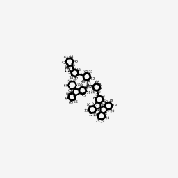 c1cc(-c2ccc3c(c2)-c2ccccc2C32c3ccccc3-c3ccccc32)cc(N(c2cccc(-c3ccc4oc5ccccc5c4c3)c2)c2ccc3c(c2)C2(CCCCC2)c2ccccc2-3)c1